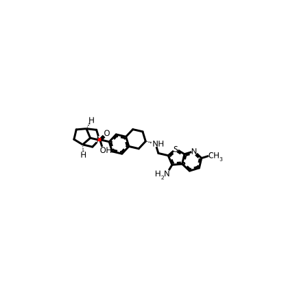 Cc1ccc2c(N)c(CN[C@H]3CCc4cc(N5C[C@H]6CC[C@@H](C5)C6C(=O)O)ccc4C3)sc2n1